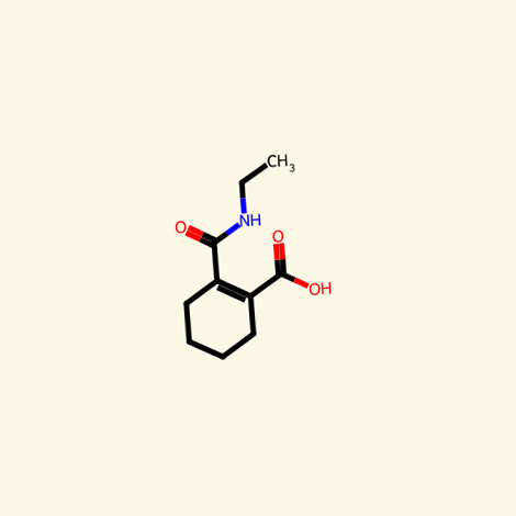 CCNC(=O)C1=C(C(=O)O)CCCC1